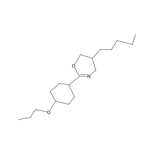 CCCCCC1CN=C(C2CCC(OCCC)CC2)OC1